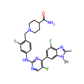 Cc1nc2c(F)cc(-c3nc(Nc4ccc(CN5CCC(C(N)=O)CC5)c(F)c4)ncc3F)cc2n1C(C)C